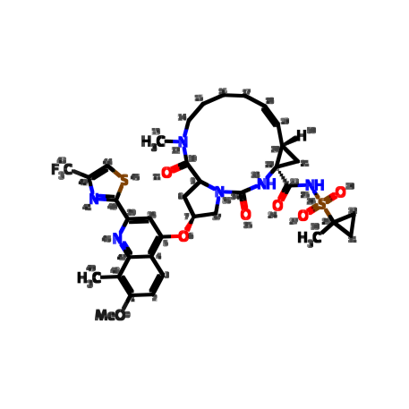 COc1ccc2c(O[C@H]3CC4C(=O)N(C)CCCC/C=C\[C@@H]5C[C@@]5(C(=O)NS(=O)(=O)C5(C)CC5)NC(=O)N4C3)cc(-c3nc(C(F)(F)F)cs3)nc2c1C